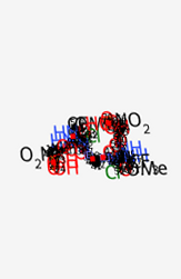 COC(=O)c1c(C(F)(F)F)[nH]c2c(NC(=O)OCc3ccc([N+](=O)[O-])c(OP(=O)(O)O)c3)cc3c(c12)C(CCl)CN3C(=O)/C=C/c1cccc(/C=C/C(=O)N2CC(CCl)c3c2cc(NC(=O)OCc2ccc([N+](=O)[O-])c(OP(=O)(O)O)c2)c2[nH]c(C(F)(F)F)c(C(=O)OC)c32)c1